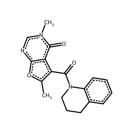 Cc1oc2ncn(C)c(=O)c2c1C(=O)N1CCCc2ccccc21